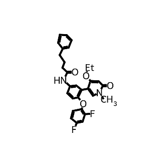 CCOc1cc(=O)n(C)cc1-c1cc(NC(=O)CCCc2ccccc2)ccc1Oc1ccc(F)cc1F